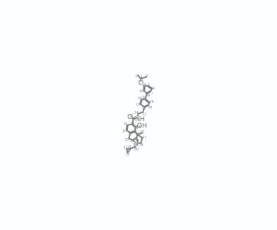 CC(C)Oc1cccc(-c2ccc(CCNC(=O)c3ccc4c(c3O)C3(C)CCN(CC5CC5)C(C4)C3C)cc2)c1